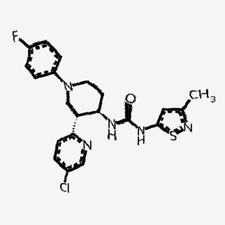 Cc1cc(NC(=O)N[C@@H]2CCN(c3ccc(F)cc3)C[C@H]2c2ccc(Cl)cn2)sn1